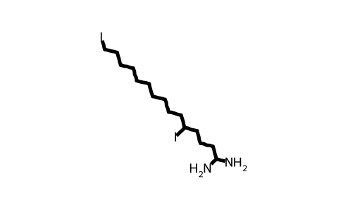 NC(N)CCCC(I)CCCCCCCCCCI